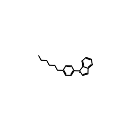 CCCCCCc1ccc([C]2C=Cc3ccccc32)cc1